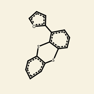 c1coc(-c2cccc3c2Sc2ccccc2S3)c1